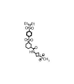 CCN(CC)S(=O)(=O)c1ccc(S(=O)(=O)N2CCCC(C(=O)NC3CN(S(C)(=O)=O)C3)C2)cc1